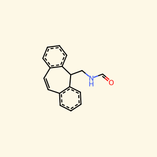 O=CNCC1c2ccccc2C=Cc2ccccc21